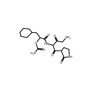 NCC(=O)C(NC(=O)C(CC1CCCCC1)OC(N)=O)C(=O)C1CCNC1=O